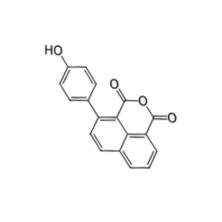 O=C1OC(=O)c2c(-c3ccc(O)cc3)ccc3cccc1c23